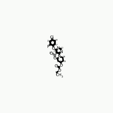 CCOC(=O)OC1CCN(c2ncnc(Oc3ccc(Cl)cc3F)c2[N+](=O)[O-])CC1